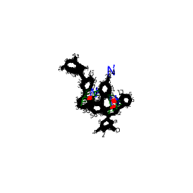 Cc1cc(C)cc(-c2ccc3c(c2)c2ccccc2n3-c2cc(C#N)cc(-n3c4ccccc4c4cc(-c5cc(C)cc(C)c5)ccc43)c2-c2c(C(F)(F)F)cccc2C(F)(F)F)c1